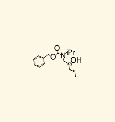 CC=C[C@@H](O)CN(C(=O)OCc1ccccc1)C(C)C